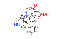 O=C(O)C=CC(=O)O.c1ccc(-c2cccc3c2[C@@H]2CCNCC[C@H]2N3)cc1